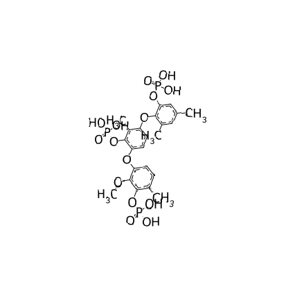 COc1c(Oc2ccc(Oc3c(C)cc(C)cc3OP(=O)(O)O)c(C)c2OP(=O)(O)O)ccc(C)c1OP(=O)(O)O